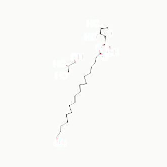 O=C(CCCCCCCCCCCCCCCCCO)O[C@H](CO)[C@H]1OC[C@H](O)[C@H]1O.OCC(O)CO